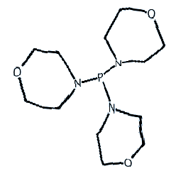 C1CN(P(N2CCOCC2)N2CCOCC2)CCO1